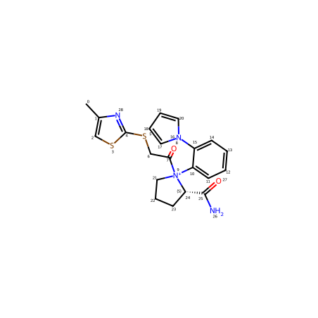 Cc1csc(SCC(=O)[N+]2(c3ccccc3-n3cccc3)CCC[C@H]2C(N)=O)n1